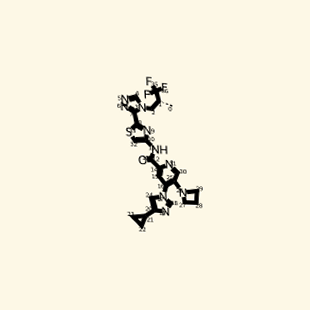 C[C@H](Cn1cnnc1-c1nc(NC(=O)c2cc(-n3cnc(C4CC4)c3)c(N3CCC3)cn2)cs1)C(F)(F)F